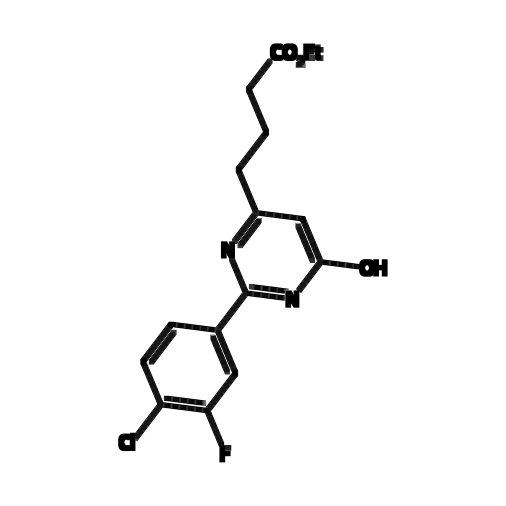 CCOC(=O)CCCc1cc(O)nc(-c2ccc(Cl)c(F)c2)n1